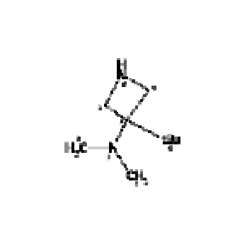 CN(C)C1(C(C)(C)C)CNC1